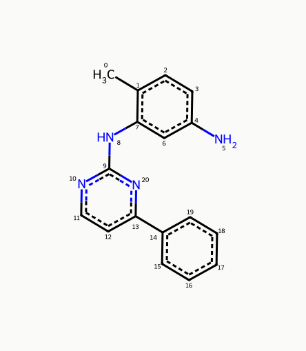 Cc1ccc(N)cc1Nc1nccc(-c2ccccc2)n1